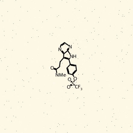 CNC(=O)CCc1c(-c2ccc(OS(=O)(=O)C(F)(F)F)cc2)[nH]c2nccnc12